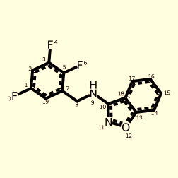 Fc1cc(F)c(F)c(CNc2noc3ccccc23)c1